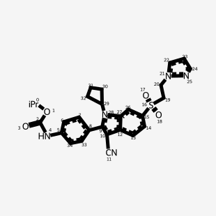 CC(C)OC(=O)Nc1ccc(-c2c(C#N)c3ccc(S(=O)(=O)CCn4cccn4)cc3n2C2CCC2)cc1